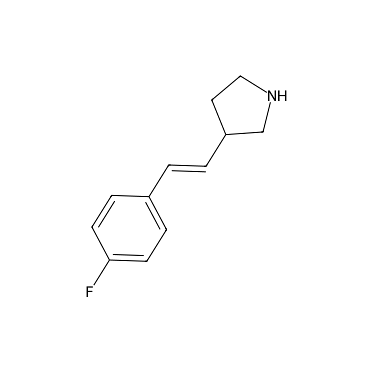 Fc1ccc(/C=C/C2CCNC2)cc1